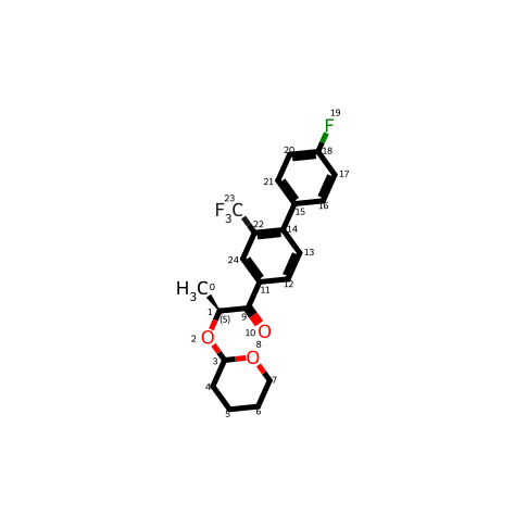 C[C@H](OC1CCCCO1)C(=O)c1ccc(-c2ccc(F)cc2)c(C(F)(F)F)c1